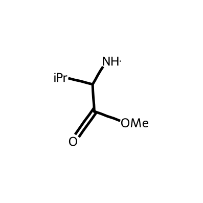 COC(=O)C([NH])C(C)C